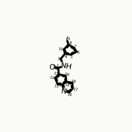 O=C(NCc1cccc(I)c1)c1ccc2ncccc2c1